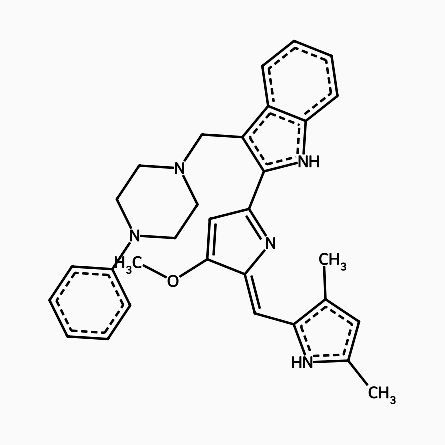 COC1=CC(c2[nH]c3ccccc3c2CN2CCN(c3ccccc3)CC2)=N/C1=C\c1[nH]c(C)cc1C